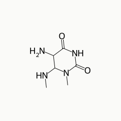 CNC1C(N)C(=O)NC(=O)N1C